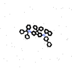 C1=CCCC(c2c(C3=CCCC=C3)n(-c3ccc4c(c3)C(c3ccccc3)(c3ccccc3)c3cc(N(c5cccc6ccccc56)C5C=CC(C6C=CC=CC6)=CC5)ccc3-4)c3ccccc23)=C1